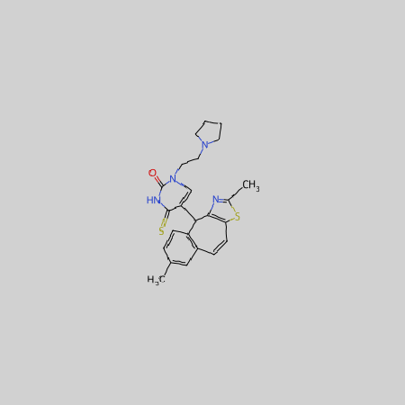 Cc1ccc2c(c1)C=Cc1sc(C)nc1C2c1cn(CCN2CCCC2)c(=O)[nH]c1=S